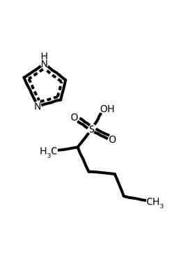 CCCCC(C)S(=O)(=O)O.c1c[nH]cn1